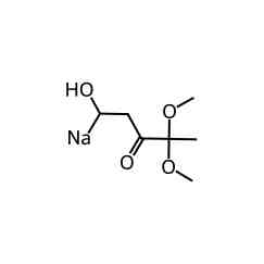 COC(C)(OC)C(=O)C[CH](O)[Na]